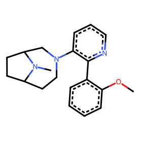 COc1ccccc1-c1ncccc1N1CCC2CCC(C1)N2C